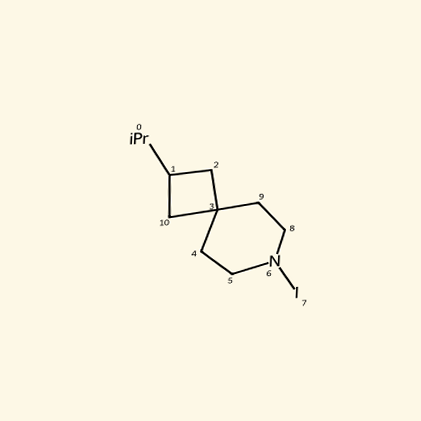 CC(C)C1CC2(CCN(I)CC2)C1